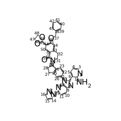 Nc1ncccc1-c1nc2ccc(-n3cccn3)nc2n1-c1ccc2c(c1)CC[C@@H]2N1CCc2cc(OCc3ccccc3)c(C3OCCO3)cc2C1=O